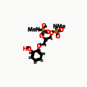 CNS(=O)(=O)OCC(COc1ccccc1O)OS(=O)(=O)NC